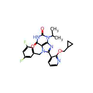 CC(C)n1c(=O)[nH]c(=O)c2c1nc(-c1cccnc1OCC1CC1)n2Cc1cc(F)cc(F)c1